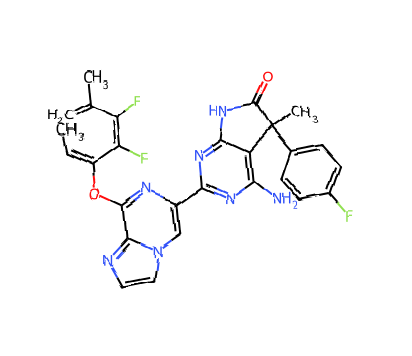 C=C(C)/C(F)=C(F)\C(=C/C)Oc1nc(-c2nc(N)c3c(n2)NC(=O)C3(C)c2ccc(F)cc2)cn2ccnc12